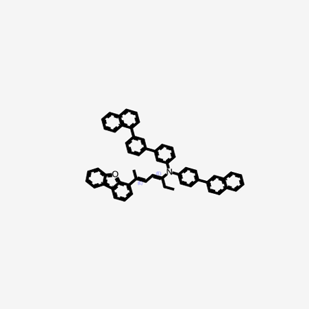 CC/C(=C\C=C(/C)c1cccc2c1oc1ccccc12)N(c1ccc(-c2ccc3ccccc3c2)cc1)c1cccc(-c2cccc(-c3cccc4ccccc34)c2)c1